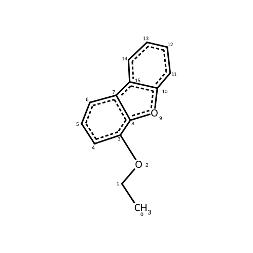 CCOc1cccc2c1oc1ccccc12